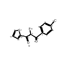 O=C(c1ccc(Cl)cc1)C(F)C(=O)c1cccs1